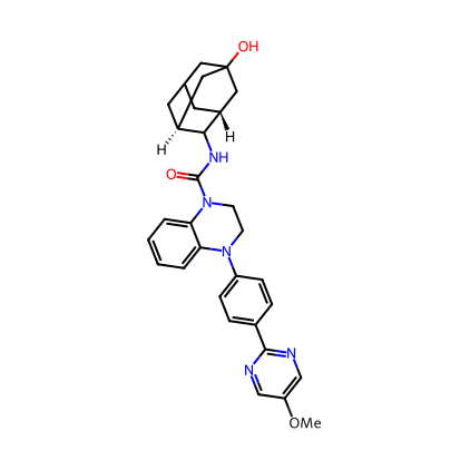 COc1cnc(-c2ccc(N3CCN(C(=O)NC4[C@@H]5CC6C[C@H]4CC(O)(C6)C5)c4ccccc43)cc2)nc1